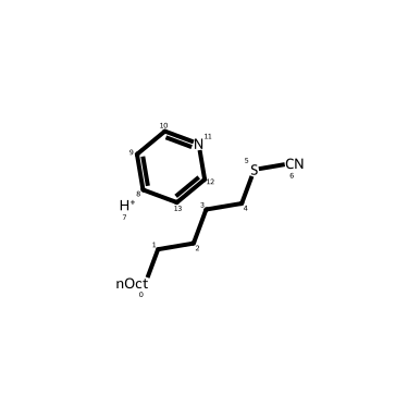 CCCCCCCCCCCCSC#N.[H+].c1ccncc1